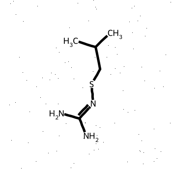 CC(C)CSN=C(N)N